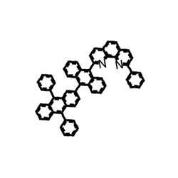 c1ccc(-c2ccc3ccc4ccc(-c5c6ccccc6c(-c6ccc7c(-c8ccccc8)c8ccccc8c(-c8ccccc8)c7c6)c6ccccc56)nc4c3n2)cc1